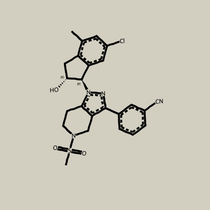 Cc1cc(Cl)cc2c1C[C@@H](O)[C@@H]2n1nc(-c2cccc(C#N)c2)c2c1CCN(S(C)(=O)=O)C2